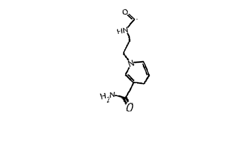 NC(=O)C1=CN(CCN[C]=O)C=CC1